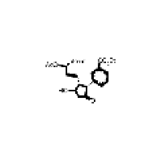 CCCCC[C@@H](/C=C/[C@H]1[C@H](O)CC(=O)[C@H]1c1cccc(C(=O)OCC)c1)OC(C)=O